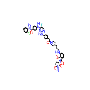 O=C1CCC(N2C(=O)c3cccc(NCCCC4CCN(C(=O)Cc5ccc(Nc6ncc(F)c(Nc7ccc(C(=O)Nc8ccccc8Cl)cc7)n6)cc5)CC4)c3C2=O)C(=O)N1